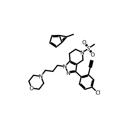 C#Cc1cc(Cl)ccc1-c1nn(CCCN2CCOCC2)c2c1CN(S(C)(=O)=O)CC2.Cc1c2cccc1-2